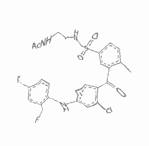 CC(=O)NCCNS(=O)(=O)c1ccc(C)c(C(=O)c2ccc(Nc3ccc(F)cc3F)cc2Cl)c1